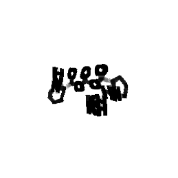 O=C(OC(=O)[C@@H]1CCCN1)OC(=O)[C@@H]1CCCN1.[KH].[KH]